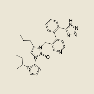 CCCc1cn(-c2nccn2C(C)CC)c(=O)n1Cc1cnccc1-c1ccccc1-c1nnn[nH]1